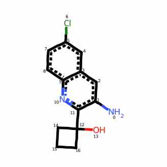 Nc1cc2cc(Cl)ccc2nc1C1(O)CCC1